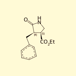 CCOC(=O)[C@@H]1CNC(=O)[C@@H]1Cc1ccccc1